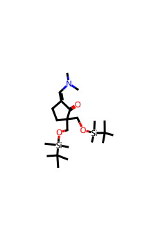 CN(C)C=C1CCC(CO[Si](C)(C)C(C)(C)C)(CO[Si](C)(C)C(C)(C)C)C1=O